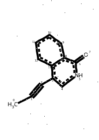 CC#Cc1c[nH]c(=O)c2ccccc12